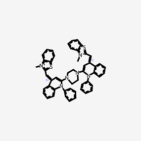 C[n+]1c(/C=C2\C=C(N3CCN(C4=C/C(=C\c5sc6ccccc6[n+]5C)c5ccccc5N4c4ccccc4)CC3)N(c3ccccc3)c3ccccc32)sc2ccccc21